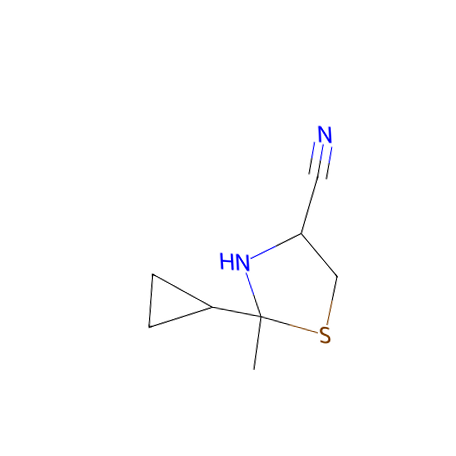 CC1(C2CC2)NC(C#N)CS1